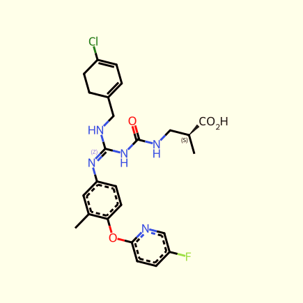 Cc1cc(/N=C(/NCC2=CC=C(Cl)CC2)NC(=O)NC[C@H](C)C(=O)O)ccc1Oc1ccc(F)cn1